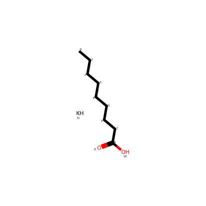 CCCCCCCCC(=O)O.[KH]